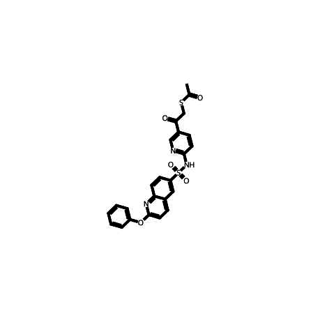 CC(=O)SCC(=O)c1ccc(NS(=O)(=O)c2ccc3nc(Oc4ccccc4)ccc3c2)nc1